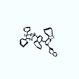 c1ccc(-c2nc(-c3ccccc3)nc(-c3ccc(-c4cc(-c5ccc6ccccc6c5)cc5sc6ccccc6c45)c4ccccc34)n2)cc1